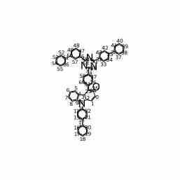 C1=CC2C(c3ccccc3N2c2ccc(-c3ccccc3)cc2)c2c1oc1cc(-c3nc(-c4ccc(-c5ccccc5)cc4)nc(-c4cccc(-c5ccccc5)c4)n3)ccc21